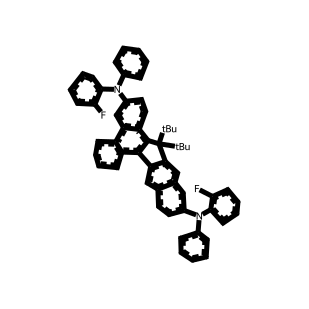 CC(C)(C)C1(C(C)(C)C)c2cc3cc(N(c4ccccc4)c4ccccc4F)ccc3cc2-c2c1c1ccc(N(c3ccccc3)c3ccccc3F)cc1c1ccccc21